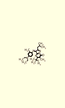 CCN(CC)c1ccc(/N=C2/C(CC(C)C)=Nn3c2nc(C(C)(C)C)c(C)c3=O)c(C)c1